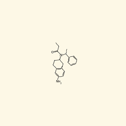 CCC(=O)N(C1CCc2cc(N)ccc2C1)C(C)c1ccccc1